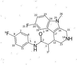 CC(C(=O)Nc1ccc(F)cc1)C1CNCc2c1c1cc(F)ccc1n2C